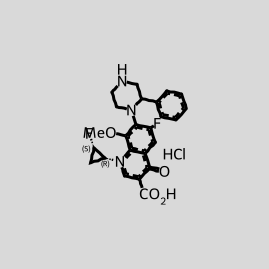 COc1c(N2CCNCC2c2ccccc2)c(F)cc2c(=O)c(C(=O)O)cn([C@@H]3C[C@@H]3F)c12.Cl